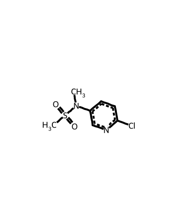 CN(c1ccc(Cl)nc1)S(C)(=O)=O